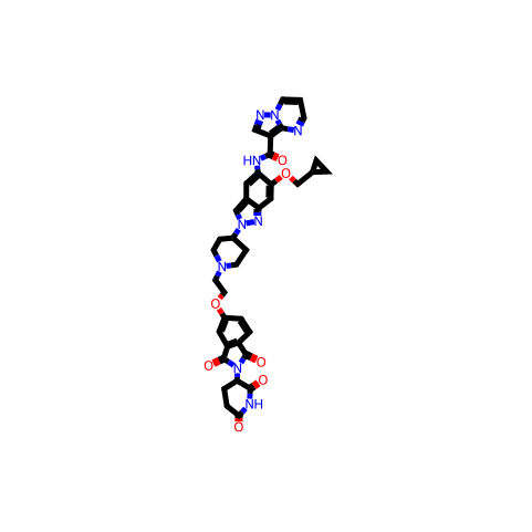 O=C1CCC(N2C(=O)c3ccc(OCCN4CCC(n5cc6cc(NC(=O)c7cnn8cccnc78)c(OCC7CC7)cc6n5)CC4)cc3C2=O)C(=O)N1